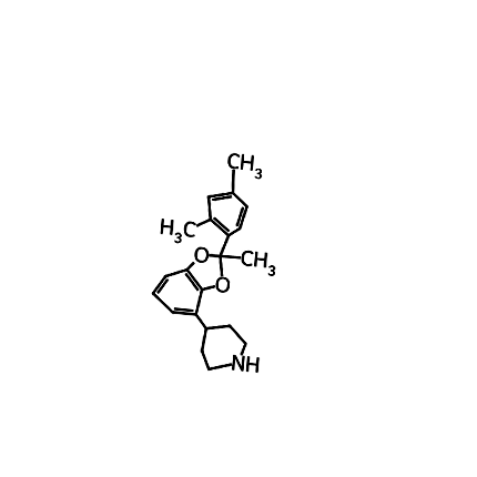 Cc1ccc(C2(C)Oc3cccc(C4CCNCC4)c3O2)c(C)c1